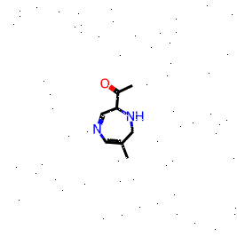 CC(=O)C1C=NC=C(C)CN1